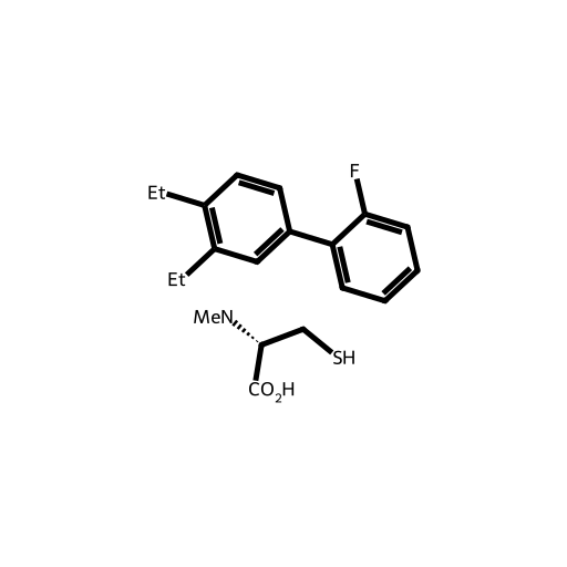 CCc1ccc(-c2ccccc2F)cc1CC.CN[C@H](CS)C(=O)O